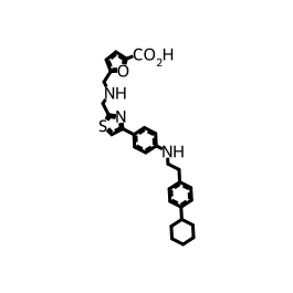 O=C(O)c1ccc(CNCc2nc(-c3ccc(NCCc4ccc(C5CCCCC5)cc4)cc3)cs2)o1